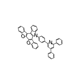 c1ccc(-c2cc(-c3ccccc3)nc(-c3ccc(-n4c5ccccc5c5c6c7ccccc7oc6c6oc7ccccc7c6c54)cc3)c2)cc1